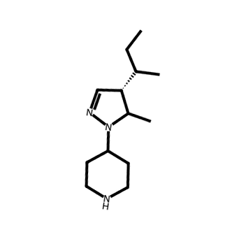 CCC(C)[C@H]1C=NN(C2CCNCC2)C1C